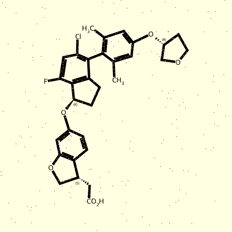 Cc1cc(O[C@@H]2CCOC2)cc(C)c1-c1c(Cl)cc(F)c2c1CC[C@H]2Oc1ccc2c(c1)OC[C@H]2CC(=O)O